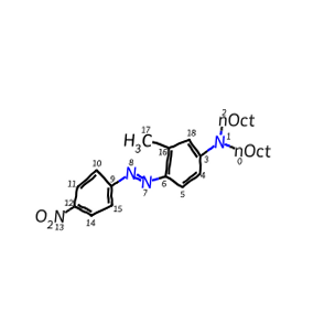 CCCCCCCCN(CCCCCCCC)c1ccc(N=Nc2ccc([N+](=O)[O-])cc2)c(C)c1